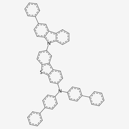 c1ccc(-c2ccc(N(c3ccc(-c4ccccc4)cc3)c3ccc4c(c3)sc3ccc(-n5c6ccccc6c6cc(-c7ccccc7)ccc65)cc34)cc2)cc1